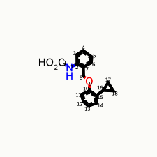 O=C(O)Nc1ccccc1COc1ccccc1C1CC1